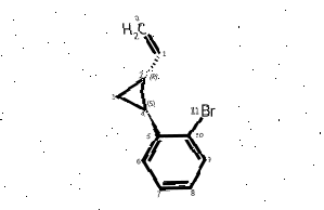 C=C[C@H]1C[C@@H]1c1ccccc1Br